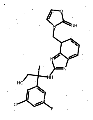 CC(CO)(NC1=NC2=CC=CC(Cn3ccoc3=N)C2=N1)c1cc(F)cc(Cl)c1